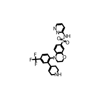 O=S(=O)(Nc1cccnn1)c1ccc2c(c1)OCCN2c1ccc(C(F)(F)F)cc1C1=CCNCC1